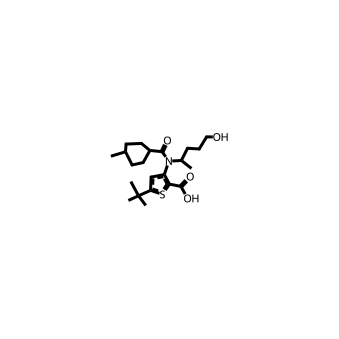 CC1CCC(C(=O)N(c2cc(C(C)(C)C)sc2C(=O)O)C(C)CCCO)CC1